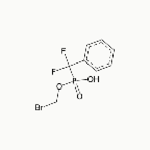 O=P(O)(OCBr)C(F)(F)c1ccccc1